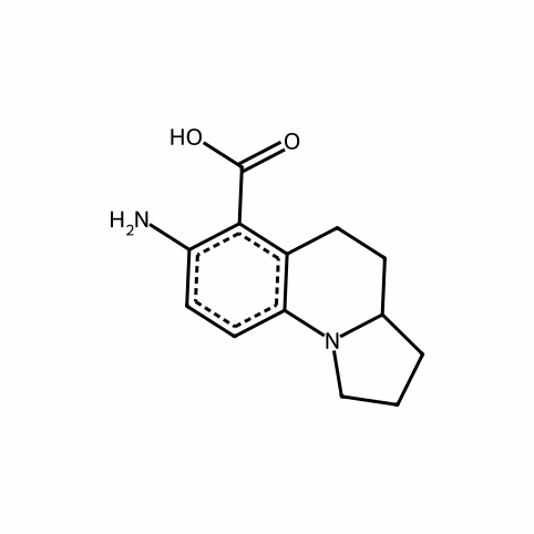 Nc1ccc2c(c1C(=O)O)CCC1CCCN21